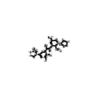 CC1C(NC(=O)c2cc(N3CCCS3(=O)=O)cc(F)c2Cl)=CC(Cl)=CC1[C@@H]1CCCO1